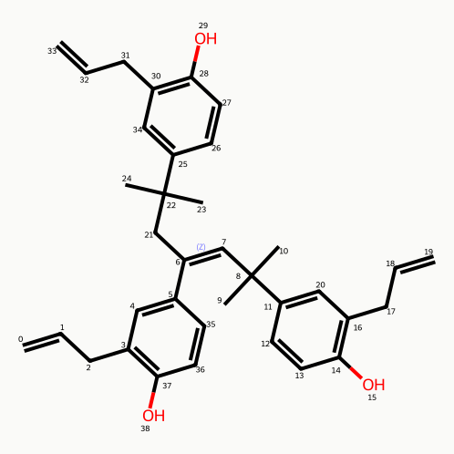 C=CCc1cc(/C(=C\C(C)(C)c2ccc(O)c(CC=C)c2)CC(C)(C)c2ccc(O)c(CC=C)c2)ccc1O